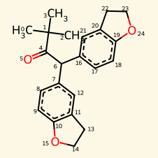 CC(C)(C)C(=O)C(c1ccc2c(c1)CCO2)c1ccc2c(c1)CCO2